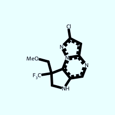 COCC1(C(F)(F)F)CNc2cnc3cc(Cl)nn3c21